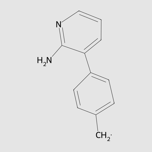 [CH2]c1ccc(-c2cccnc2N)cc1